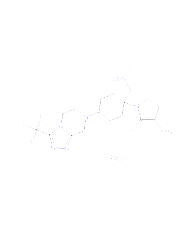 CC1CCN(C2(C[N+](=O)[O-])CCC(N3CCn4c(nnc4C(F)(F)F)C3)CC2)C1=O.O=CO